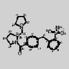 NS(=O)(=O)c1ccccc1Cc1ccc(C(=O)N2CCC[C@H]2CN2CCCC2)cc1